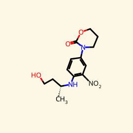 C[C@H](CCO)Nc1ccc(N2CCCOC2=O)cc1[N+](=O)[O-]